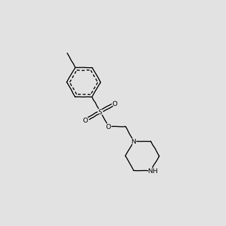 Cc1ccc(S(=O)(=O)OCN2CCNCC2)cc1